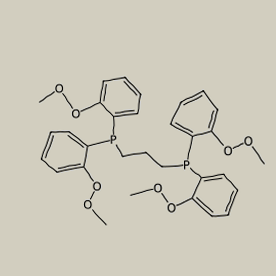 COOc1ccccc1P(CCCP(c1ccccc1OOC)c1ccccc1OOC)c1ccccc1OOC